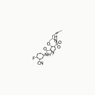 CC#CC[C@@H]1COc2c(cn(C)c2C(=O)Nc2ccc(F)c(C#N)c2)S(=O)(=O)N1